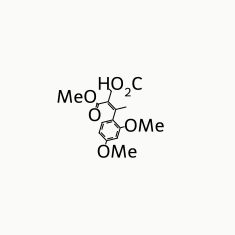 COC(=O)C(CC(=O)O)=C(C)c1ccc(OC)cc1OC